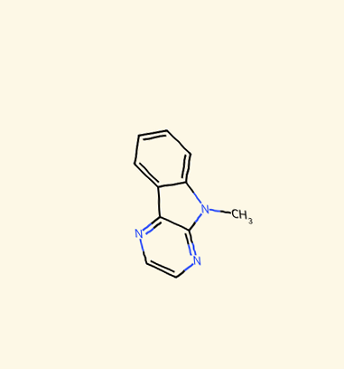 Cn1c2ccccc2c2nccnc21